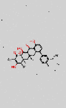 CC(=O)C1=C(O)C(C(C)C)[C@@]2(C)C[C@@]3(C)Cc4c(-c5ccc(C)c(CC(C)C)c5)ccc(O)c4C(=O)C3=C(O)[C@@]2(O)C1=O